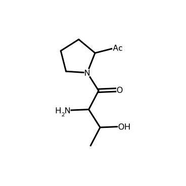 CC(=O)C1CCCN1C(=O)C(N)C(C)O